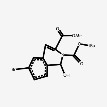 COC(=O)C1=Cc2cc(Br)ccc2C(O)N1C(=O)OC(C)(C)C